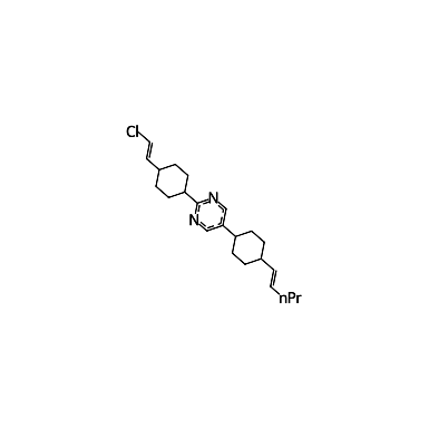 CCC/C=C/C1CCC(c2cnc(C3CCC(/C=C/Cl)CC3)nc2)CC1